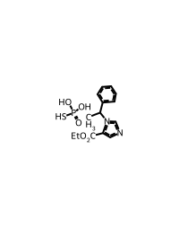 CCOC(=O)c1cncn1C(C)c1ccccc1.O=P(O)(O)S